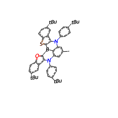 Cc1cc2c3c(c1)N(c1ccc(C(C)(C)C)cc1)c1c(sc4ccc(C(C)(C)C)cc14)B3c1oc3ccc(C(C)(C)C)cc3c1N2c1ccc(C(C)(C)C)cc1